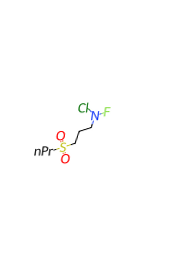 CCCS(=O)(=O)CCCN(F)Cl